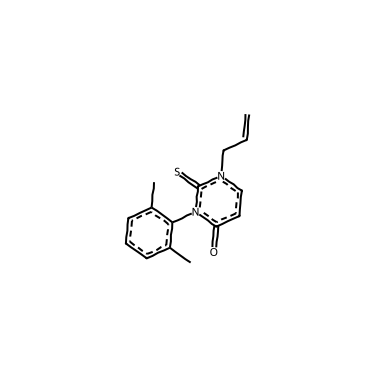 C=CCn1ccc(=O)n(-c2c(C)cccc2C)c1=S